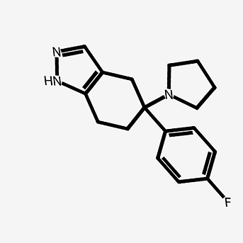 Fc1ccc(C2(N3CCCC3)CCc3[nH]ncc3C2)cc1